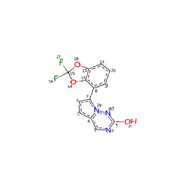 Oc1ncc2ccc(-c3cccc4c3OC(F)(F)O4)n2n1